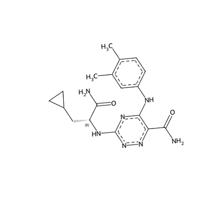 Cc1ccc(Nc2nc(N[C@H](CC3CC3)C(N)=O)nnc2C(N)=O)cc1C